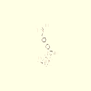 CC/C(C)=C\N/C=C(\C)c1ccc(-c2ccc(-c3c[nH]c(C4CCCN4C(=O)C(NC(=O)OC)C(C)C)n3)cc2)cc1